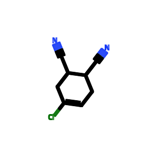 N#CC1CC=C(Cl)CC1C#N